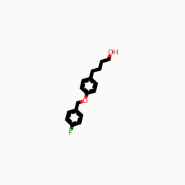 OCCCCc1ccc(OCc2ccc(F)cc2)cc1